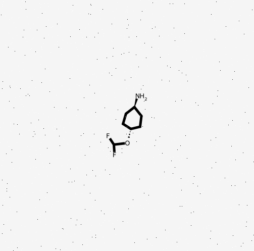 N[C@H]1CC[C@H](OC(F)F)CC1